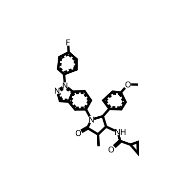 COc1ccc(C2C(NC(=O)C3CC3)C(C)C(=O)N2c2ccc3c(cnn3-c3ccc(F)cc3)c2)cc1